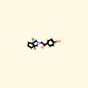 O=C(CN1C[C@H]2CCC[C@H]2C1)c1ccc(O)cc1